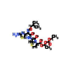 CCOC(=O)OC(C)OC(=O)C1=CCS[C@@H]2C(NC(=O)/C(=N\OCC(C)C)c3csc(N)n3)C(=O)N12